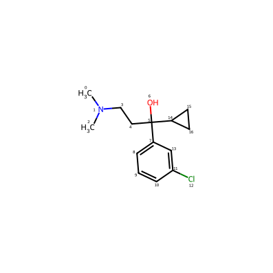 CN(C)CCC(O)(c1cccc(Cl)c1)C1CC1